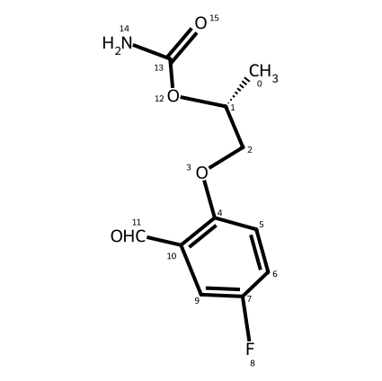 C[C@H](COc1ccc(F)cc1C=O)OC(N)=O